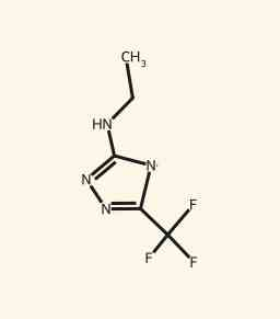 CCNC1=NN=C(C(F)(F)F)[N]1